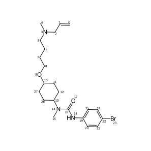 C=CCN(C)CCCCOC1CCC(N(C)C(=O)Nc2ccc(Br)cc2)CC1